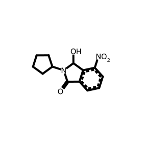 O=C1c2cccc([N+](=O)[O-])c2C(O)N1C1CCCC1